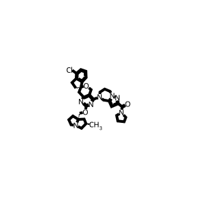 C[C@H]1CN2CCC[C@@]2(COc2nc3c(c(N4CCCn5nc(C(=O)N6CCCC6)cc5C4)n2)CO[C@@]2(CCc4c(Cl)cccc42)C3)C1